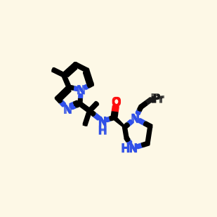 Cc1cccn2c(C(C)(C)NC(=O)[C@@H]3CNCCN3CC(C)C)ncc12